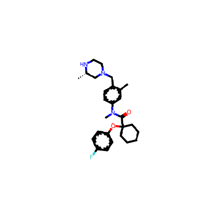 Cc1cc(N(C)C(=O)C2(Oc3ccc(F)cc3)CCCCC2)ccc1CN1CCN[C@@H](C)C1